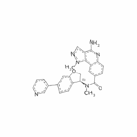 CN(C(=O)c1ccc2nc(N)c3cnn(C)c3c2c1)[C@@H]1COc2cc(-c3cccnc3)ccc21